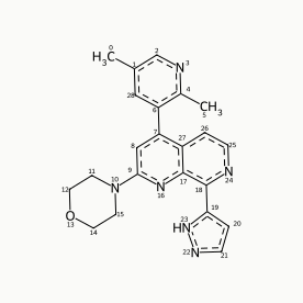 Cc1cnc(C)c(-c2cc(N3CCOCC3)nc3c(-c4ccn[nH]4)nccc23)c1